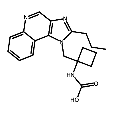 CCCc1nc2cnc3ccccc3c2n1CC1(NC(=O)O)CCC1